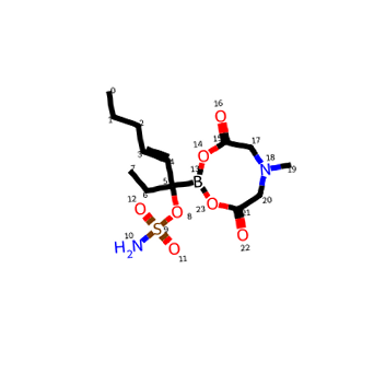 CCCC=CC(CC)(OS(N)(=O)=O)B1OC(=O)CN(C)CC(=O)O1